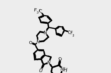 O=C1CCC(N2Cc3cc(C(=O)N4CCN(C(c5ccc(C(F)(F)F)cc5)c5ccc(C(F)(F)F)cc5)CC4)ccc3C2=O)C(=O)N1